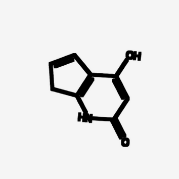 O=c1cc(O)c2c([nH]1)CC=C2